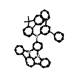 CC1(C)c2ccccc2-c2c(N(c3cc(-c4ccccc4)cc(-c4ccccc4)c3)c3ccc4c(c3)n3c5ccccc5c5ccc6c7ccccc7n4c6c53)cccc21